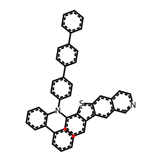 c1ccc(-c2ccc(-c3ccc(N(c4ccccc4-c4ccccc4)c4cccc5c4sc4cc6ccncc6cc45)cc3)cc2)cc1